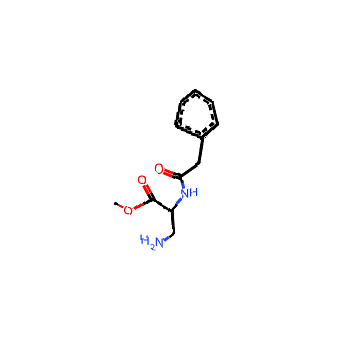 COC(=O)C(CN)NC(=O)Cc1ccccc1